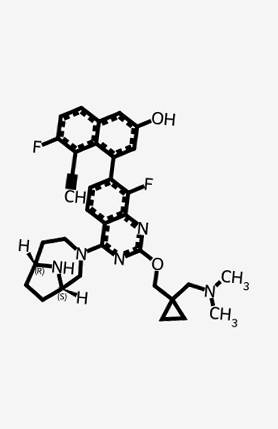 C#Cc1c(F)ccc2cc(O)cc(-c3ccc4c(N5CC[C@H]6CC[C@@H](C5)N6)nc(OCC5(CN(C)C)CC5)nc4c3F)c12